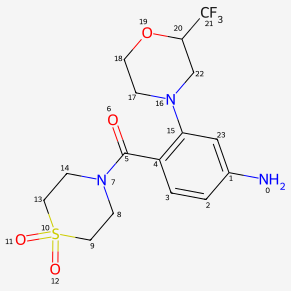 Nc1ccc(C(=O)N2CCS(=O)(=O)CC2)c(N2CCOC(C(F)(F)F)C2)c1